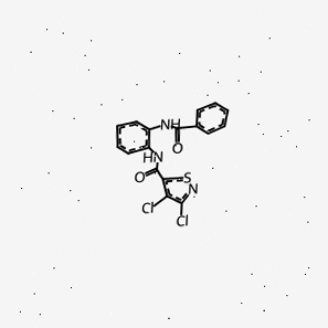 O=C(Nc1ccccc1NC(=O)c1snc(Cl)c1Cl)c1ccccc1